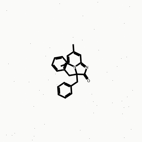 CC1=CC2=NC(=O)C(Cc3ccccc3)(Cc3ccccc3)N2C(C)=C1